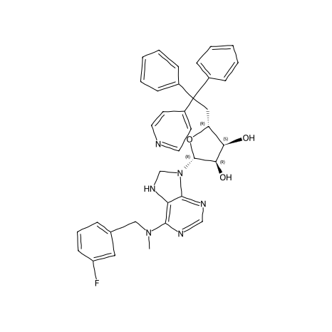 CN(Cc1cccc(F)c1)c1ncnc2c1NCN2[C@@H]1O[C@H](CC(c2ccccc2)(c2ccccc2)c2ccncc2)[C@@H](O)[C@H]1O